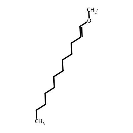 [CH2]OC=CCCCCCCCCCC